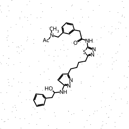 CC(=O)N(C)Cc1cccc(CC(=O)Nc2nnc(CCCCc3ccc(NC(O)Cc4ccccc4)nn3)s2)c1